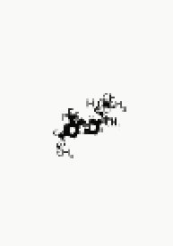 CCOC(=O)c1ccc(CN2CCCC(N(C)C(=O)OC(C)(C)C)C2)c(C(F)(F)F)c1